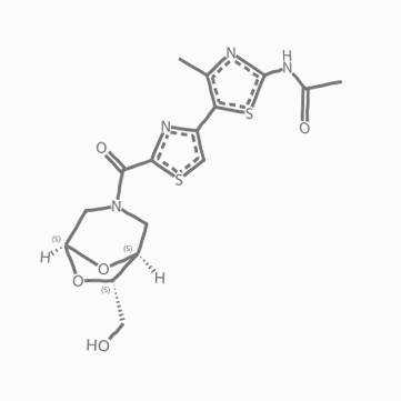 CC(=O)Nc1nc(C)c(-c2csc(C(=O)N3C[C@@H]4O[C@@H](CO)[C@H](C3)O4)n2)s1